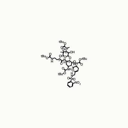 CN(C(=O)OC(C)(C)C)[C@@H]1[C@@H](O)[C@@H](O[C@H]2[C@H](NC(=O)[C@@H](O)CCNC(=O)OC(C)(C)C)C[C@H](NC(=O)OC(C)(C)C)C([C@H]3OC(CNS(=O)(=O)c4ccccc4[N+](=O)[O-])=CC[C@H]3NC(=O)OC(C)(C)C)[C@@H]2O)OC[C@]1(C)O